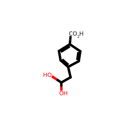 O=C(O)c1ccc(CC(O)O)cc1